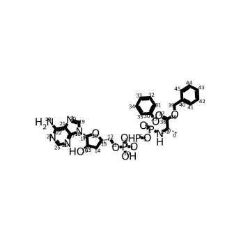 C[C@H](NP(=O)(OPOP(=O)(O)OC[C@@H]1C[C@@H](O)[C@H](n2cnc3c(N)ncnc32)O1)Oc1ccccc1)C(=O)OCc1ccccc1